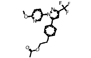 COc1ccc(-n2nc(C(F)(F)F)cc2-c2ccc(CCOC(C)=O)cc2)cn1